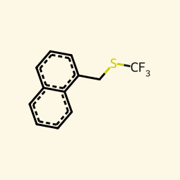 FC(F)(F)SCc1cccc2ccccc12